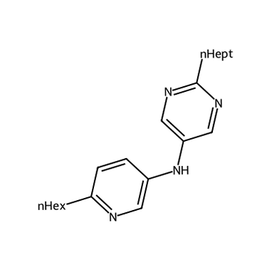 CCCCCCCc1ncc(Nc2ccc(CCCCCC)nc2)cn1